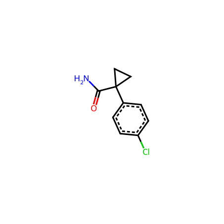 NC(=O)C1(c2ccc(Cl)cc2)CC1